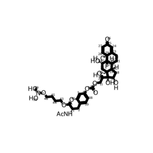 CC(=O)N[C@@H](Cc1ccc(OC(=O)OCC(=O)[C@@]2(O)[C@H](O)C[C@H]3[C@@H]4CCC5=CC(=O)C=C[C@]5(C)C4(F)[C@@H](O)C[C@@]32C)cc1)C(=O)OCCCCON(O)O